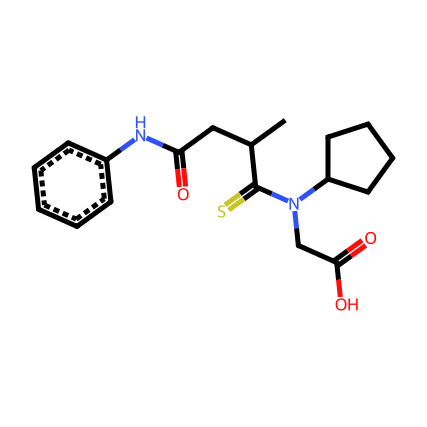 CC(CC(=O)Nc1ccccc1)C(=S)N(CC(=O)O)C1CCCC1